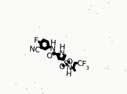 CC(CC(F)(F)F)NS(=O)(=O)c1c[nH]c(C(=O)Nc2ccc(F)c(C#N)c2)c1